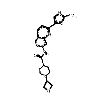 Cc1ncc(-c2ccc3cnc(NC(=O)C4CCN(C5COC5)CC4)cc3n2)s1